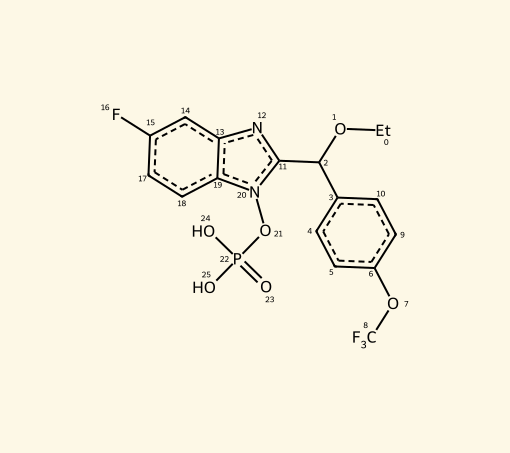 CCOC(c1ccc(OC(F)(F)F)cc1)c1nc2cc(F)ccc2n1OP(=O)(O)O